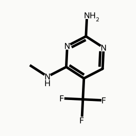 CNc1nc(N)ncc1C(F)(F)F